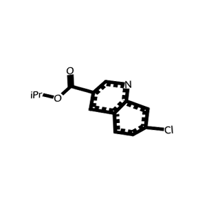 CC(C)OC(=O)c1cnc2cc(Cl)ccc2c1